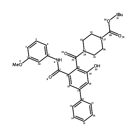 COc1cccc(NC(=O)c2cc(-c3ccccc3)cc(O)c2C(=O)N2CCN(C(=O)OC(C)(C)C)CC2)c1